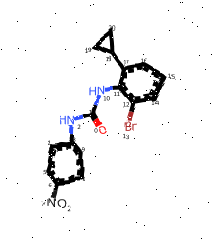 O=C(Nc1ccc([N+](=O)[O-])cc1)Nc1c(Br)cccc1C1CC1